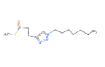 CCCCCCCn1cc(CCC(=O)SC)nn1